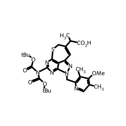 COc1c(C)cnc(Cn2nc3c4c(nc(N(C(=O)OC(C)(C)C)C(=O)OC(C)(C)C)nc42)SCC(C(C)C(=O)O)=C3)c1C